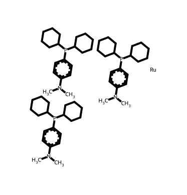 CN(C)c1ccc(P(C2CCCCC2)C2CCCCC2)cc1.CN(C)c1ccc(P(C2CCCCC2)C2CCCCC2)cc1.CN(C)c1ccc(P(C2CCCCC2)C2CCCCC2)cc1.[Ru]